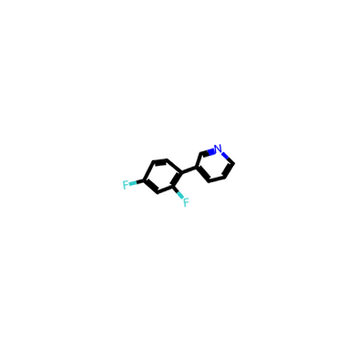 Fc1ccc(-c2cccnc2)c(F)c1